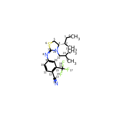 CCC(C)[C@H]1CSC(=Nc2ccc(C#N)c(C(F)(F)F)c2)N1CC(C)C